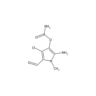 Cn1c(N)c(OC(N)=O)c(Cl)c1C=O